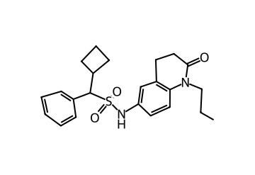 CCCN1C(=O)CCc2cc(NS(=O)(=O)C(c3ccccc3)C3CCC3)ccc21